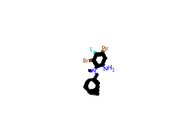 CN(Cc1ccccc1)c1c(N)cc(Br)c(F)c1Br